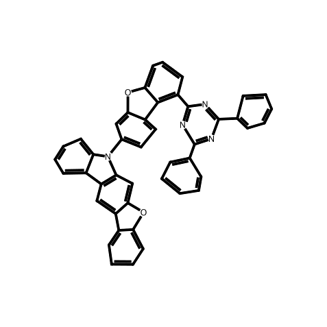 c1ccc(-c2nc(-c3ccccc3)nc(-c3cccc4oc5cc(-n6c7ccccc7c7cc8c(cc76)oc6ccccc68)ccc5c34)n2)cc1